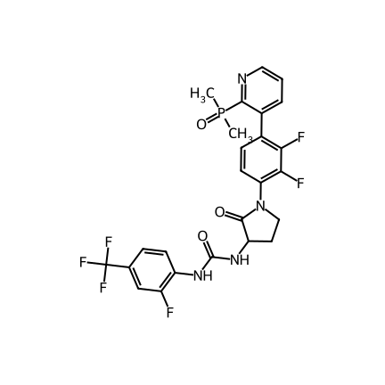 CP(C)(=O)c1ncccc1-c1ccc(N2CCC(NC(=O)Nc3ccc(C(F)(F)F)cc3F)C2=O)c(F)c1F